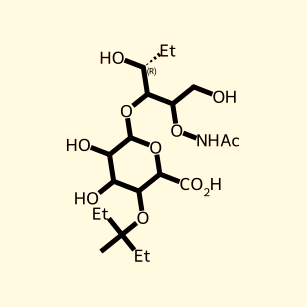 CC[C@@H](O)C(OC1OC(C(=O)O)C(OC(C)(CC)CC)C(O)C1O)C(CO)ONC(C)=O